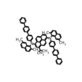 Cc1ccc2ccc(C)c(N(c3ccc(-c4ccc(-c5ccccc5)cc4)cc3)c3ccc4ccc5c(N(c6ccc(-c7ccc(-c8ccccc8)cc7)cc6)c6c(C)ccc7ccc(C)cc67)cc(C(C)C)c6ccc3c4c65)c2c1